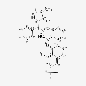 CC(C)(C)c1cc(F)c2c(=O)n(-c3cccc(-c4cc(-c5cccnc5)c5[nH]nc(N)c5c4)c3CO)ncc2c1